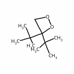 CC(C)(C)C1(C(C)(C)C)COO1